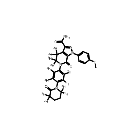 [2H]c1c([2H])c(N2C(=O)c3c(c(C(N)=O)nn3-c3ccc(OC)cc3)C([2H])([2H])C2([2H])[2H])c([2H])c([2H])c1N1C(=O)C([2H])([2H])CCC1([2H])[2H]